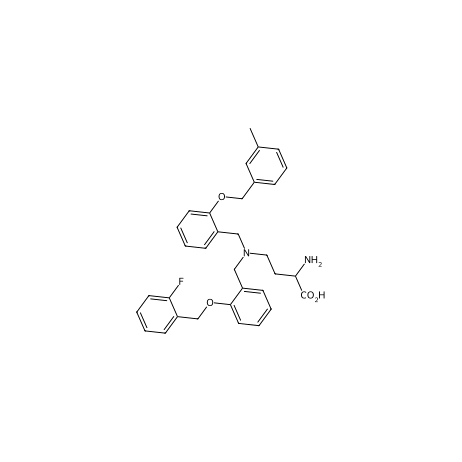 Cc1cccc(COc2ccccc2CN(CCC(N)C(=O)O)Cc2ccccc2OCc2ccccc2F)c1